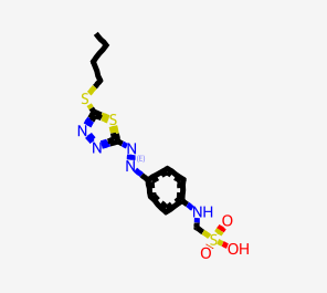 CCCCSc1nnc(/N=N/c2ccc(NCS(=O)(=O)O)cc2)s1